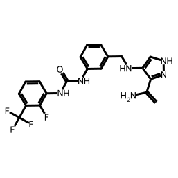 C=C(N)c1n[nH]cc1NCc1cccc(NC(=O)Nc2cccc(C(F)(F)F)c2F)c1